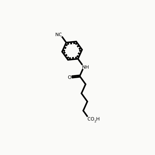 N#Cc1ccc(NC(=O)CCCCC(=O)O)cc1